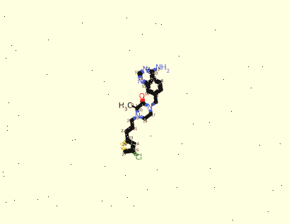 C[C@H]1C(=O)N(Cc2ccc3c(N)ncnc3c2)CCN1CC=Cc1cc(Cl)cs1